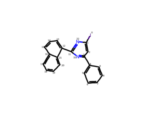 Ic1cc(-c2ccccc2)nc(-c2cccc3ccccc23)n1